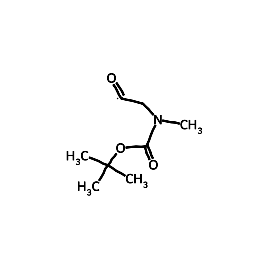 CN(C[C]=O)C(=O)OC(C)(C)C